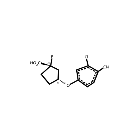 N#Cc1ccc(O[C@@H]2CC[C@@](F)(C(=O)O)C2)cc1Cl